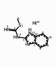 CSC(=N)Nc1nc2ccccc2[nH]1.I